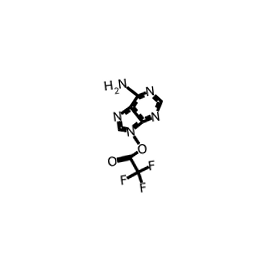 Nc1ncnc2c1ncn2OC(=O)C(F)(F)F